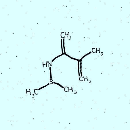 C=C(C)C(=C)NB(C)C